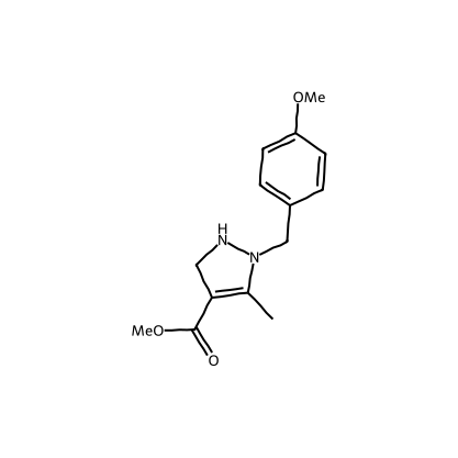 COC(=O)C1=C(C)N(Cc2ccc(OC)cc2)NC1